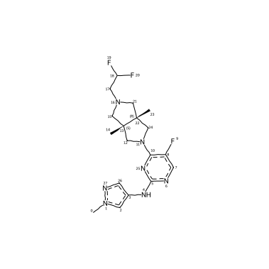 Cn1cc(Nc2ncc(F)c(N3C[C@]4(C)CN(CC(F)F)C[C@]4(C)C3)n2)cn1